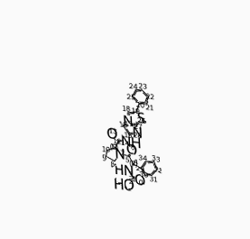 O=C(O)N[C@@H](C(=O)N1CCC[C@H]1C(=O)Nc1cn2cc(-c3ccccc3)sc2n1)c1ccccc1